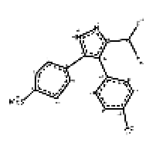 CSc1ccc(-c2[nH]nc(C(F)F)c2-c2ccc(C(C)=O)cc2)cc1